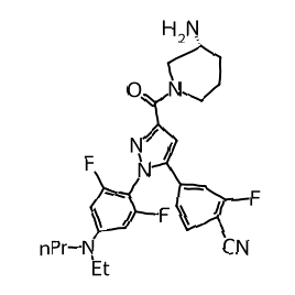 CCCN(CC)c1cc(F)c(-n2nc(C(=O)N3CCC[C@@H](N)C3)cc2-c2ccc(C#N)c(F)c2)c(F)c1